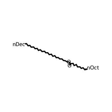 CCCCCCCC/C=C\CCCCCCCC(=O)OCCCCCCCCCCCCCCCCCCCCCCCCCCCCCCCCCC